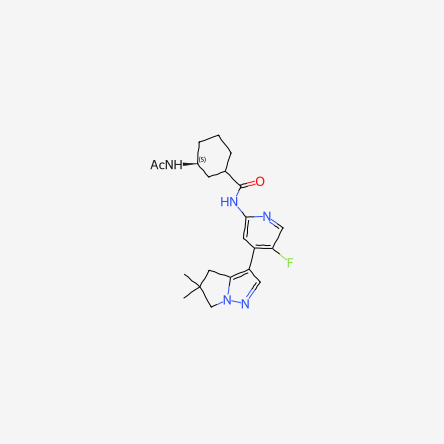 CC(=O)N[C@H]1CCCC(C(=O)Nc2cc(-c3cnn4c3CC(C)(C)C4)c(F)cn2)C1